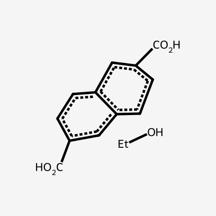 CCO.O=C(O)c1ccc2cc(C(=O)O)ccc2c1